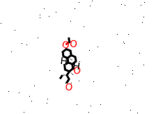 CC[C@@H](CC=O)[C@@]1(C)CC[C@H]2[C@@H](CCC3C[C@@H](OC(C)=O)CC[C@@]32C)C1=O